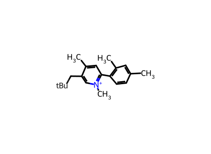 Cc1ccc(-c2cc(C)c(CC(C)(C)C)c[n+]2C)c(C)c1